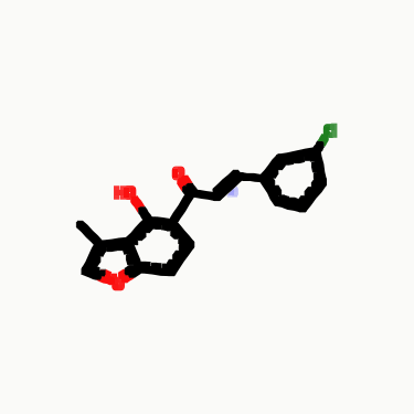 Cc1coc2ccc(C(=O)/C=C/c3cccc(Cl)c3)c(O)c12